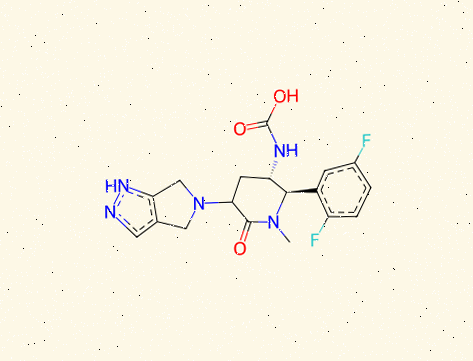 CN1C(=O)C(N2Cc3cn[nH]c3C2)C[C@H](NC(=O)O)[C@H]1c1cc(F)ccc1F